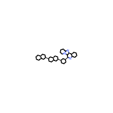 c1cc(-c2ccc3cc(-c4ccc5ccccc5c4)ccc3c2)cc(-c2nc3ccccc3c3nc4ccccn4c23)c1